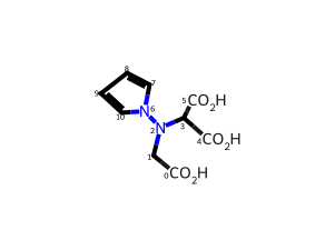 O=C(O)CN(C(C(=O)O)C(=O)O)n1cccc1